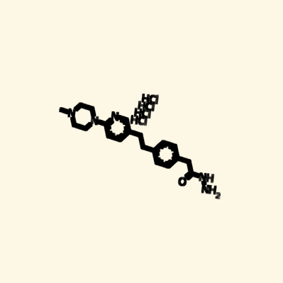 CN1CCN(c2ccc(CCc3ccc(CC(=O)NN)cc3)cn2)CC1.Cl.Cl.Cl.Cl